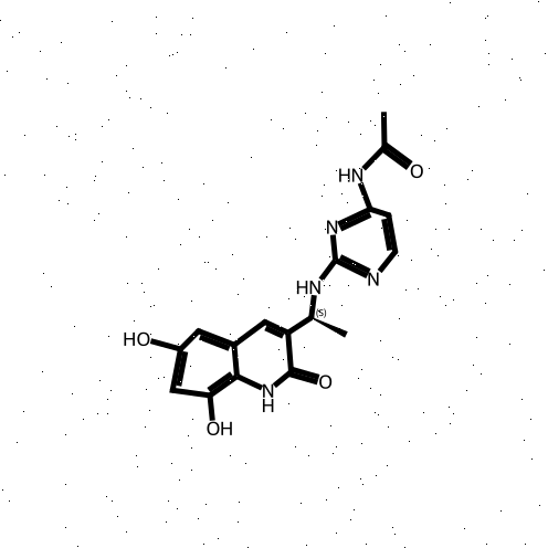 CC(=O)Nc1ccnc(N[C@@H](C)c2cc3cc(O)cc(O)c3[nH]c2=O)n1